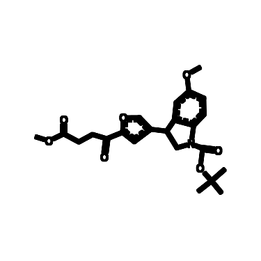 COC(=O)CCC(=O)c1cc(C2CN(C(=O)OC(C)(C)C)c3ccc(OC)cc32)co1